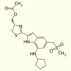 CC(=O)OC[C@@H]1CSC(c2cc3cc(CS(C)(=O)=O)cc(NC4CCCC4)c3[nH]2)=N1